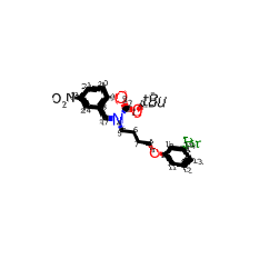 CC(C)(C)OC(=O)N(CCCCOc1cccc(Br)c1)Cc1cccc([N+](=O)[O-])c1